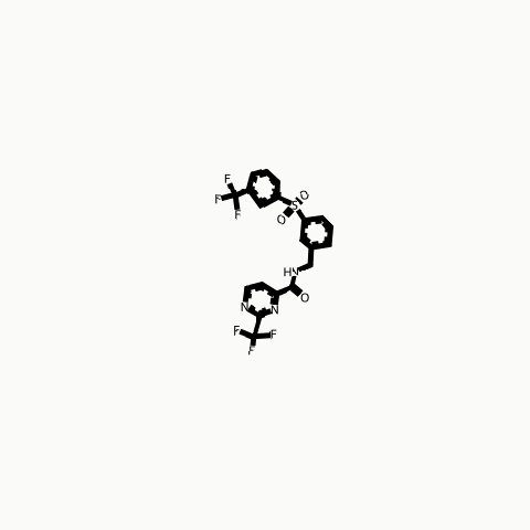 O=C(NCc1cccc(S(=O)(=O)c2cccc(C(F)(F)F)c2)c1)c1ccnc(C(F)(F)F)n1